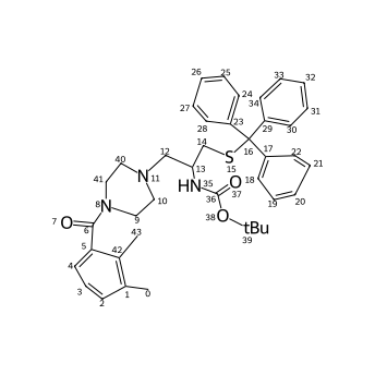 Cc1cccc(C(=O)N2CCN(CC(CSC(c3ccccc3)(c3ccccc3)c3ccccc3)NC(=O)OC(C)(C)C)CC2)c1C